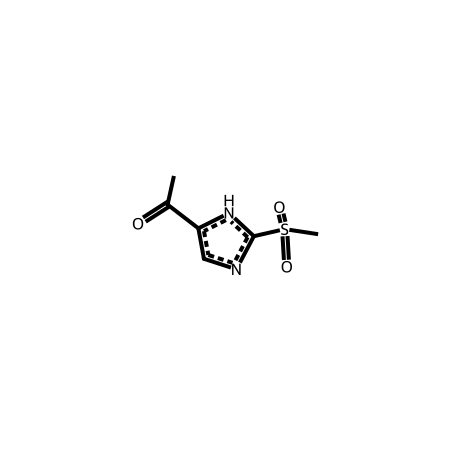 CC(=O)c1cnc(S(C)(=O)=O)[nH]1